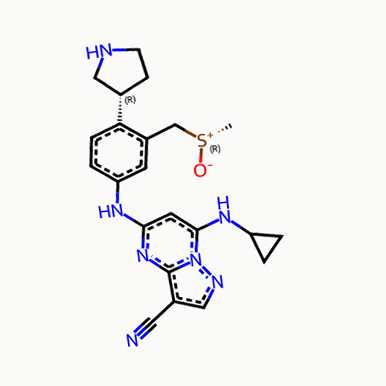 C[S@+]([O-])Cc1cc(Nc2cc(NC3CC3)n3ncc(C#N)c3n2)ccc1[C@H]1CCNC1